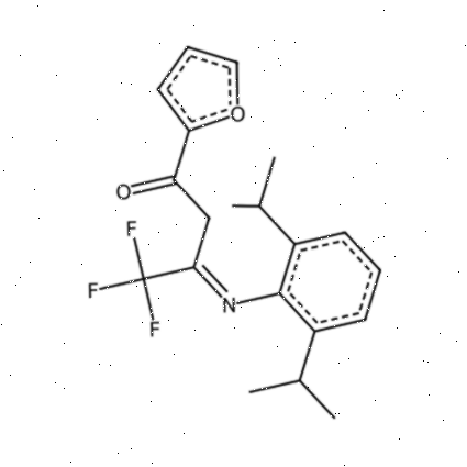 CC(C)c1cccc(C(C)C)c1/N=C(\CC(=O)c1ccco1)C(F)(F)F